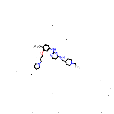 COc1ccc(Nc2nccc(NCC3CCN(CC(F)(F)F)CC3)n2)cc1OCCCN1CCCC1